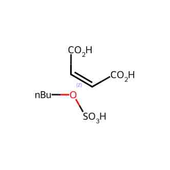 CCCCOS(=O)(=O)O.O=C(O)/C=C\C(=O)O